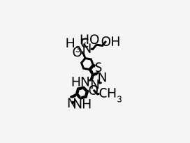 CCOc1cc2[nH]ncc2cc1Nc1ncnc2sc3c(c12)CCC(C(=O)N(C)CC(O)CO)C3